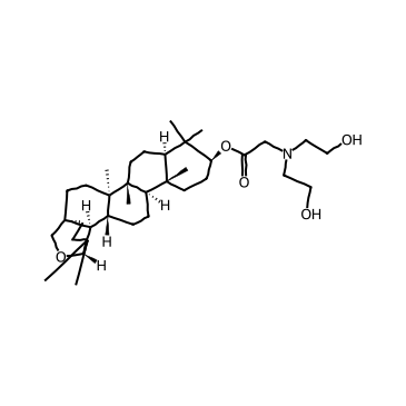 CC1(C)CC[C@]23CC[C@]4(C)[C@H](CC[C@@H]5[C@@]6(C)CC[C@H](OC(=O)CN(CCO)CCO)C(C)(C)[C@@H]6CC[C@]54C)[C@H]2[C@H]1OC3